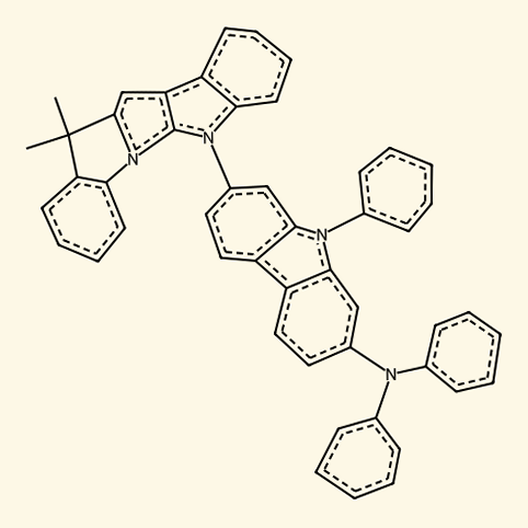 CC1(C)c2ccccc2-n2c1cc1c3ccccc3n(-c3ccc4c5ccc(N(c6ccccc6)c6ccccc6)cc5n(-c5ccccc5)c4c3)c12